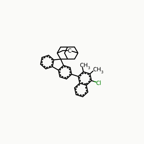 Cc1c(C)c(-c2ccc3c(c2)C2(c4ccccc4-3)C3CCC4CC(C3)CC2C4)c2ccccc2c1Cl